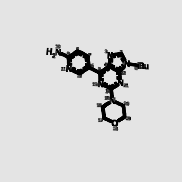 CCC(C)n1cnc2c(-c3ccc(N)nc3)nc(N3CCOCC3)nc21